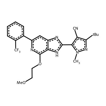 COCCOc1nc(-c2ccccc2C(F)(F)F)cc2nc(-c3c(C#N)c(C(C)(C)C)nn3C)[nH]c12